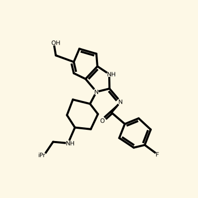 CC(C)CNC1CCC(n2/c(=N\C(=O)c3ccc(F)cc3)[nH]c3ccc(CO)cc32)CC1